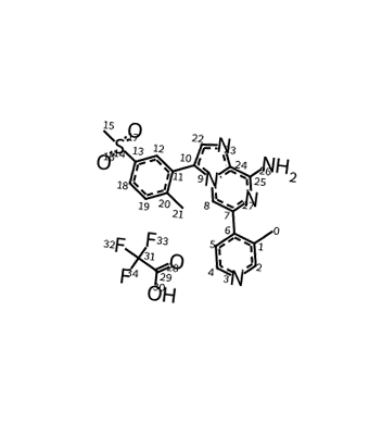 Cc1cnccc1-c1cn2c(-c3cc(S(C)(=O)=O)ccc3C)cnc2c(N)n1.O=C(O)C(F)(F)F